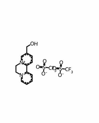 O=S(=O)([O-])C(F)(F)F.O=S(=O)([O-])C(F)(F)F.OCc1ccc2[n+](c1)CC[n+]1ccccc1-2